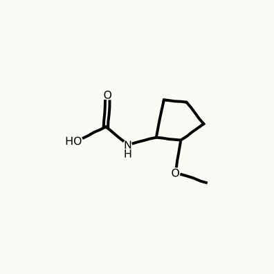 COC1CCCC1NC(=O)O